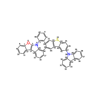 c1ccc(-n2c3oc4ccccc4c3c3cccc(-c4ccc5sc6ccc(-n7c8ccccc8c8ccccc87)cc6c5c4)c32)cc1